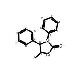 CC1SC(=O)N(c2ccccc2)C1c1ccccc1